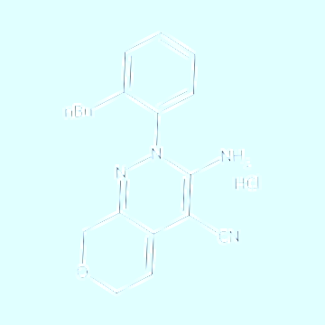 CCCCc1ccccc1N1N=C2COCC=C2C(C#N)=C1N.Cl